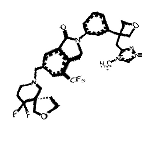 Cn1cnnc1CC1(c2cccc(N3Cc4c(cc(CN5CCC(F)(F)[C@@]6(CCOC6)C5)cc4C(F)(F)F)C3=O)c2)COC1